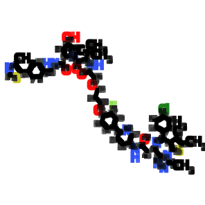 Cc1ncsc1-c1ccc(CNC(=O)[C@@H]2C[C@@H](O)CN2C(=O)C(NC(=O)COCCCOc2ccc(-c3ccc(NC(=O)C[C@@H]4N=C(c5ccc(Cl)cc5)c5c(sc(C)c5C)-n5c(C)nnc54)cn3)cc2F)C(C)(C)C)cc1